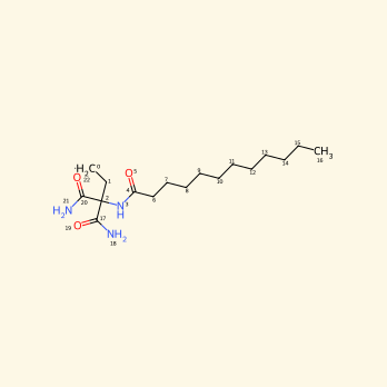 [CH2]CC(NC(=O)CCCCCCCCCCC)(C(N)=O)C(N)=O